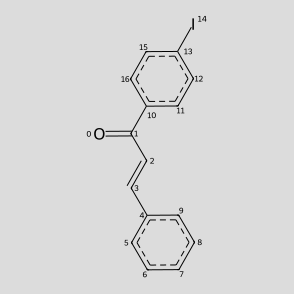 O=C(C=Cc1ccccc1)c1ccc(I)cc1